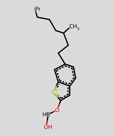 CC(C)CCCC(C)CCc1ccc2cc(OBO)sc2c1